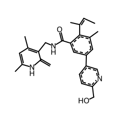 C=C1NC(C)=CC(C)=C1CNC(=O)c1cc(-c2ccc(CO)nc2)cc(C)c1/C(C)=C\C